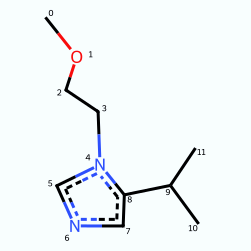 COCCn1cncc1C(C)C